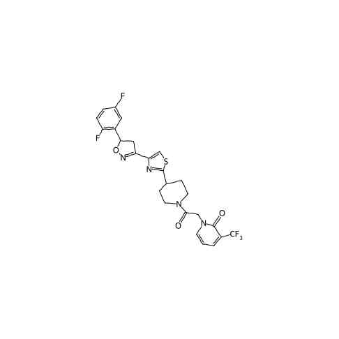 O=C(Cn1cccc(C(F)(F)F)c1=O)N1CCC(c2nc(C3=NOC(c4cc(F)ccc4F)C3)cs2)CC1